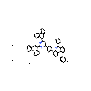 c1ccc(-c2nc3c(-c4ccc(-c5cc(-c6cc7ccccc7c7ccccc67)nc(-c6cc7ccccc7c7ccccc67)n5)cc4)cccc3c3c(-c4ccccc4)cccc23)cc1